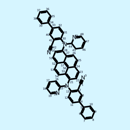 N#Cc1cc(-c2ccccc2)ccc1N(c1ccccn1)c1ccc2ccc3c(N(c4ccc(-c5ccccc5)cc4C#N)C4CC=CC=N4)ccc4ccc1c2c43